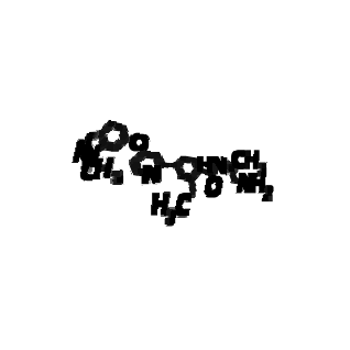 CCc1cc(-c2cc(Oc3ccc4cnn(C)c4c3)ccn2)ccc1C(=O)N[C@@H](C)CN